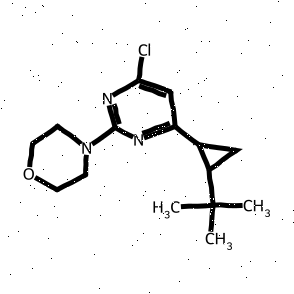 CC(C)(C)C1C[C]1c1cc(Cl)nc(N2CCOCC2)n1